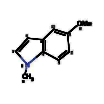 [CH2]Oc1ccc2c(ccn2C)c1